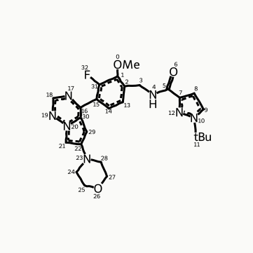 COc1c(CNC(=O)c2ccn(C(C)(C)C)n2)ccc(-c2ncnn3cc(N4CCOCC4)cc23)c1F